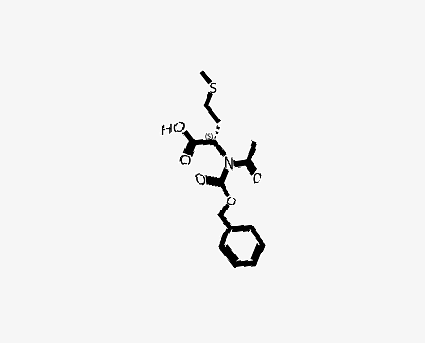 CSCC[C@@H](C(=O)O)N(C(C)=O)C(=O)OCc1ccccc1